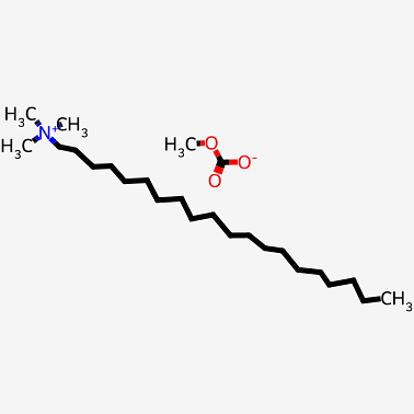 CCCCCCCCCCCCCCCCCCCC[N+](C)(C)C.COC(=O)[O-]